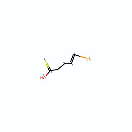 OC(=S)CCC=CP